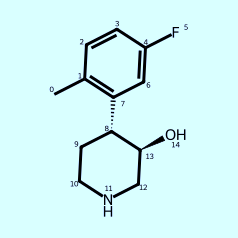 Cc1ccc(F)cc1[C@H]1CCNC[C@@H]1O